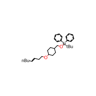 CCCCC=CCCOC1CCC(CO[Si](c2ccccc2)(c2ccccc2)C(C)(C)C)CC1